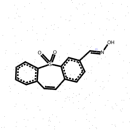 O=S1(=O)c2ccccc2C=Cc2ccc(/C=N/O)cc21